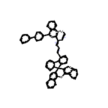 C\C=C/C(=C\C=C\c1cccc2c1-c1ccccc1C21c2ccc3ccccc3c2Oc2c1ccc1ccccc21)c1nc(-c2ccc(-c3ccccc3)cc2)c2ccccc2n1